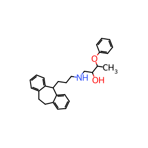 CC(Oc1ccccc1)C(O)CNCCCC1c2ccccc2CCc2ccccc21